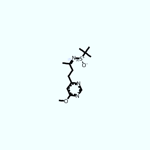 COc1cc(CC/C(C)=N\[S@@+]([O-])C(C)(C)C)ncn1